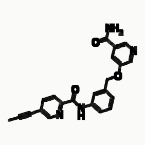 CC#Cc1ccc(C(=O)Nc2cccc(COc3cncc(C(N)=O)c3)c2)nc1